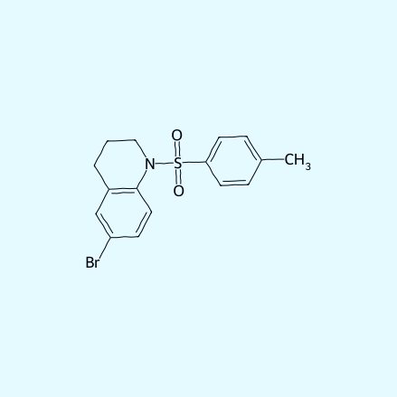 Cc1ccc(S(=O)(=O)N2CCCc3cc(Br)ccc32)cc1